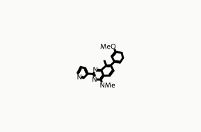 CNc1nc(-c2cccnc2)nc2c(C)c(C3=CCCC(OC)=C3)ccc12